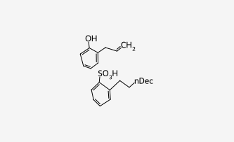 C=CCc1ccccc1O.CCCCCCCCCCCCc1ccccc1S(=O)(=O)O